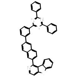 c1ccc(-c2nc(-c3ccccc3)nc(-c3cccc(-c4ccc5cc(-c6nccc7oc8ccccc8c67)ccc5c4)c3)n2)cc1